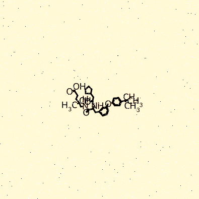 CC(C)(CCC(=O)O)CNC(=O)C(Cc1cccc(Oc2ccc(C(C)(C)C)cc2)c1)NC(=O)CC1CCCC1